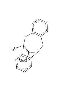 CON1C2Cc3ccccc3CC1(C)c1ccccc12